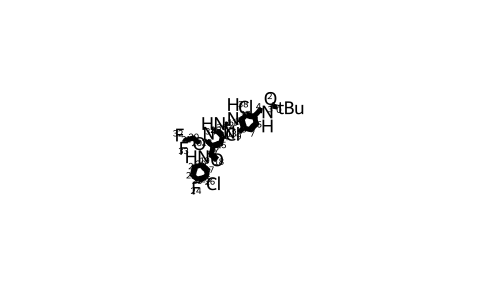 CC(C)(C)C(=O)NCc1ccc(Cl)c(Nc2nc3cc(C(=O)Nc4ccc(F)c(Cl)c4)c(OCC(F)F)nc3[nH]2)c1Cl